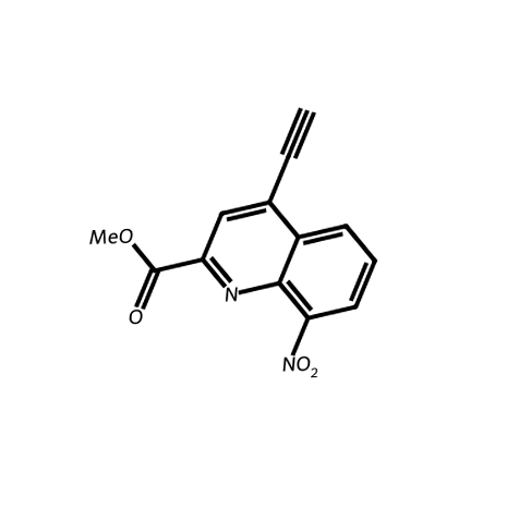 C#Cc1cc(C(=O)OC)nc2c([N+](=O)[O-])cccc12